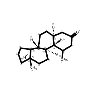 CC(=O)OC1CC(=O)C[C@@H]2CC[C@@H]3[C@H](CC[C@]4(C)CCC[C@@H]34)[C@@H]12